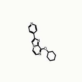 c1cc(-c2cn3ccnc(OC4CCCCC4)c3n2)ccn1